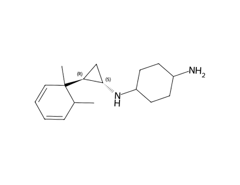 CC1C=CC=CC1(C)[C@H]1C[C@@H]1NC1CCC(N)CC1